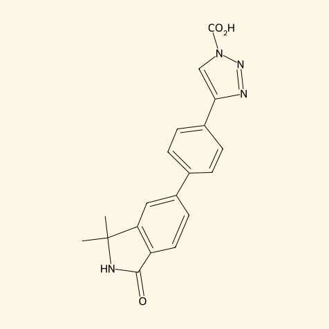 CC1(C)NC(=O)c2ccc(-c3ccc(-c4cn(C(=O)O)nn4)cc3)cc21